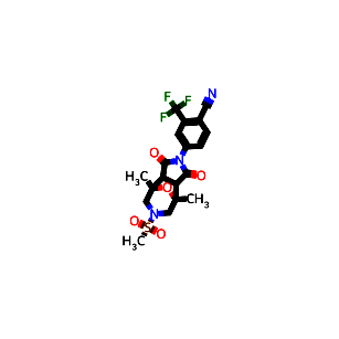 CC12CN(S(C)(=O)=O)CC(C)(O1)C1C(=O)N(c3ccc(C#N)c(C(F)(F)F)c3)C(=O)C12